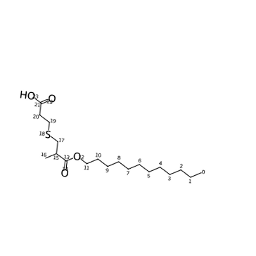 CCCCCCCCCCCCOC(=O)C(C)CSCCC(=O)O